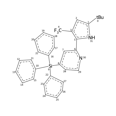 CC(C)(C)c1cc(C(F)(F)F)c(-c2cc([Si](c3ccccc3)(c3ccccc3)c3ccccc3)ccn2)[nH]1